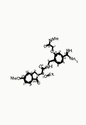 CCO[C@@H](C(=O)NCc1ccc(C(=N)N)cc1OCC(=O)NC)N1Cc2cc(OC)ccc2C1=O